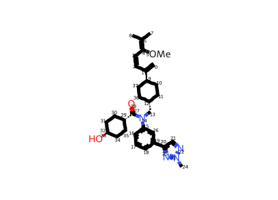 C=C(/C=C\C(OC)=C(C)C)[C@H]1CC[C@H](CN(c2cccc(-c3cnn(C)n3)c2)C(=O)[C@H]2CC[C@H](O)CC2)CC1